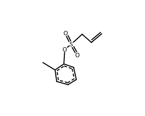 C=CCS(=O)(=O)Oc1ccccc1C